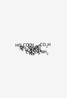 Nc1nc(C(=NOCC(=O)O)C(=O)NC2C(=O)N3CC(CSc4snc(O)c4C(=O)O)(C(=O)[O-])CS[C@H]23)ns1.[Na+]